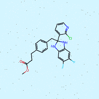 COC(=O)CCc1ccc(CC2(c3cccnc3Cl)Nc3cc(F)c(F)cc3N2)cc1